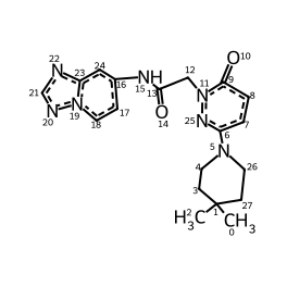 CC1(C)CCN(c2ccc(=O)n(CC(=O)Nc3ccn4ncnc4c3)n2)CC1